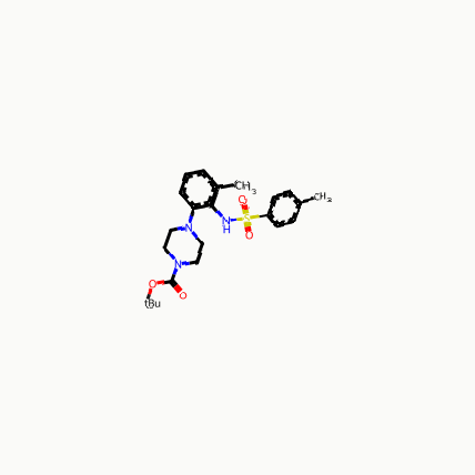 Cc1ccc(S(=O)(=O)Nc2c(C)cccc2N2CCN(C(=O)OC(C)(C)C)CC2)cc1